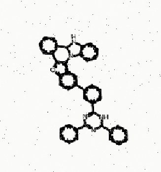 c1ccc(C2=NC(c3ccccc3)NC(c3cccc(-c4ccc5oc6c(c5c4)N4c5ccccc5NC4c4ccccc4-6)c3)=N2)cc1